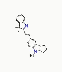 CCN1c2ccc(/C=C/C3=Nc4ccccc4C3(C)C)cc2C2CCCC21